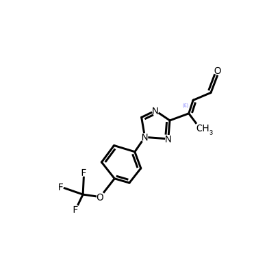 C/C(=C\C=O)c1ncn(-c2ccc(OC(F)(F)F)cc2)n1